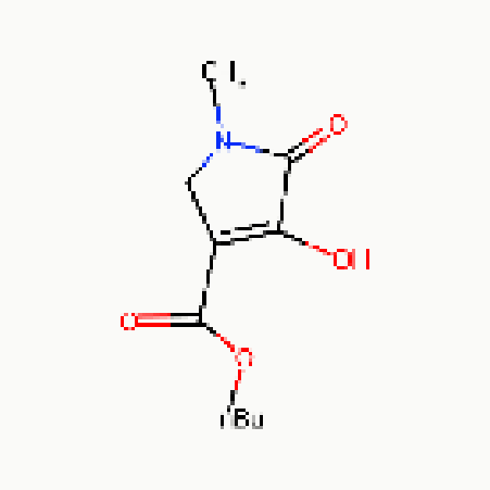 CCCCOC(=O)C1=C(O)C(=O)N(C)C1